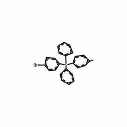 Cc1ccc(S(c2ccccc2)(c2ccccc2)c2ccc(Br)cc2)cc1